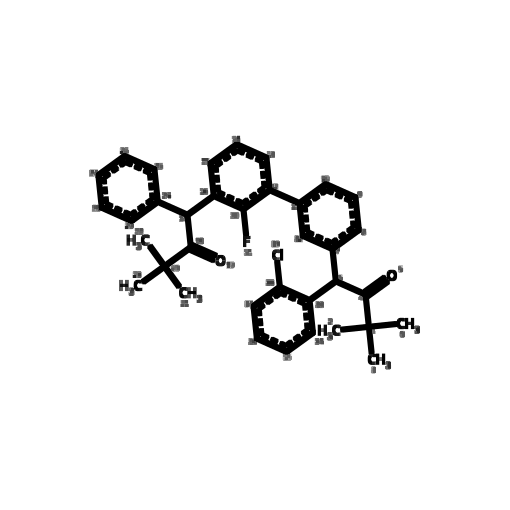 CC(C)(C)C(=O)C(c1cccc(-c2cccc(C(C(=O)C(C)(C)C)c3ccccc3)c2F)c1)c1ccccc1Cl